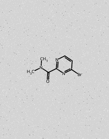 CN(C)C(=O)c1nccc(Br)n1